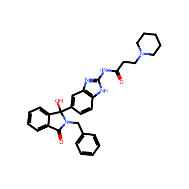 O=C(CCN1CCCCC1)Nc1nc2cc(C3(O)c4ccccc4C(=O)N3Cc3ccccc3)ccc2[nH]1